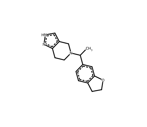 CC(c1ccc2c(c1)OCC2)N1CCc2n[nH]cc2C1